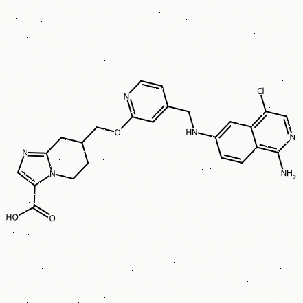 Nc1ncc(Cl)c2cc(NCc3ccnc(OCC4CCn5c(C(=O)O)cnc5C4)c3)ccc12